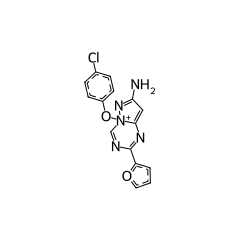 NC1=N[N+]2(Oc3ccc(Cl)cc3)C=NC(c3ccco3)=NC2=C1